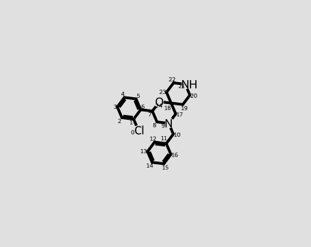 Clc1ccccc1C1CN(Cc2ccccc2)CC2(CCNCC2)O1